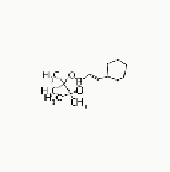 CC1(C)OB(C=CC2CCCCC2)OC1(C)C